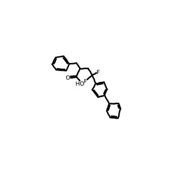 O=C(O)C(Cc1ccccc1)CC(F)(F)c1ccc(-c2ccccc2)cc1